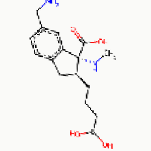 CN[C@@]1(C(=O)O)c2cc(CN)ccc2C[C@@H]1CCCB(O)O